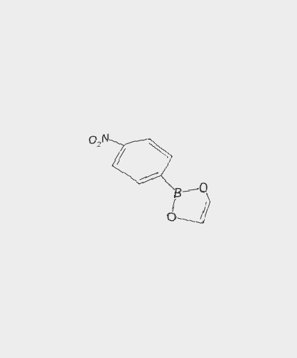 O=[N+]([O-])c1ccc(B2OC=CO2)cc1